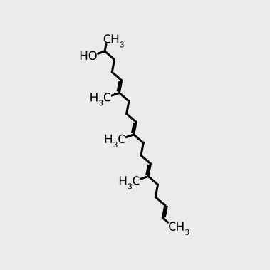 C/C=C/CC/C(C)=C/CC/C(C)=C/CC/C(C)=C/CCC(C)O